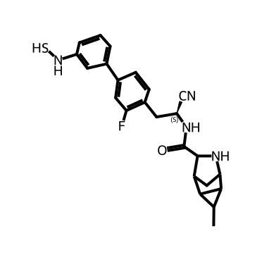 CC1C2C3CC(C(C(=O)N[C@H](C#N)Cc4ccc(-c5cccc(NS)c5)cc4F)N3)C12